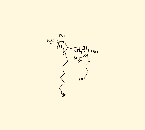 CC(C)(C)[Si](C)(C)OCCO.CC(OCCCCCCBr)O[Si](C)(C)C(C)(C)C